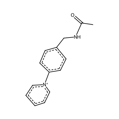 CC(=O)NCc1ccc(-[n+]2ccccc2)cc1